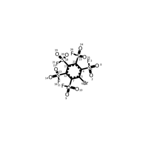 O=S(=O)(F)c1c(Br)c(S(=O)(=O)F)c(S(=O)(=O)F)c(S(=O)(=O)F)c1S(=O)(=O)F